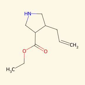 C=CCC1CNCC1C(=O)OCC